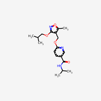 Cc1onc(OCC(C)C)c1COc1ccc(C(=O)NC(C)C)cn1